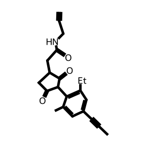 C#CCNC(=O)CC1CC(=O)C(c2c(C)cc(C#CC)cc2CC)C1=O